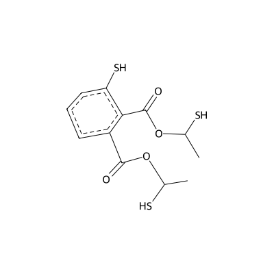 CC(S)OC(=O)c1cccc(S)c1C(=O)OC(C)S